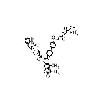 Cc1cc(C[C@@H](OC(=O)N2CCC(N3CCc4ccccc4NC3=O)CC2)C(=O)N2CCN(C3CCN(C(=O)CCC(=O)OCC(=O)N(C)C)CC3)CC2)cc2oc(=O)n(C)c12